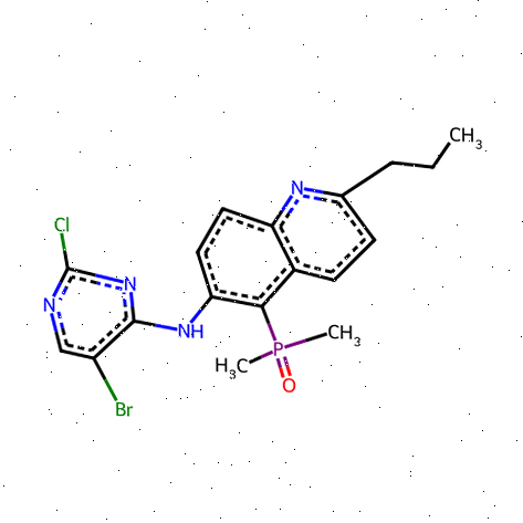 CCCc1ccc2c(P(C)(C)=O)c(Nc3nc(Cl)ncc3Br)ccc2n1